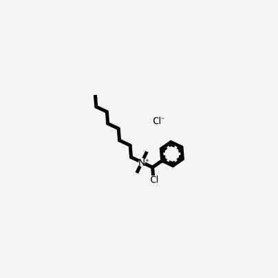 CCCCCCCC[N+](C)(C)C(Cl)c1ccccc1.[Cl-]